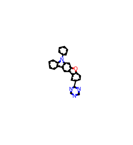 c1ccc(-n2c3ccccc3c3cc4c(cc32)oc2ccc(-c3ncncn3)cc24)cc1